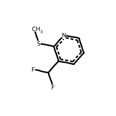 CSc1ncccc1C(F)F